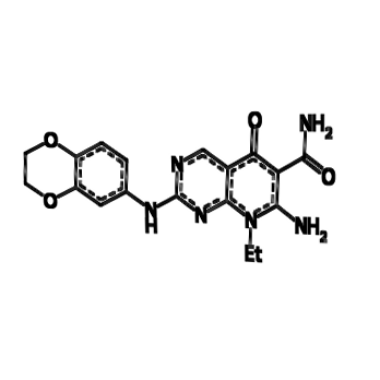 CCn1c(N)c(C(N)=O)c(=O)c2cnc(Nc3ccc4c(c3)OCCO4)nc21